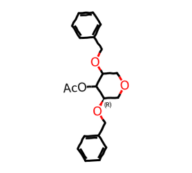 CC(=O)OC1C(OCc2ccccc2)COC[C@H]1OCc1ccccc1